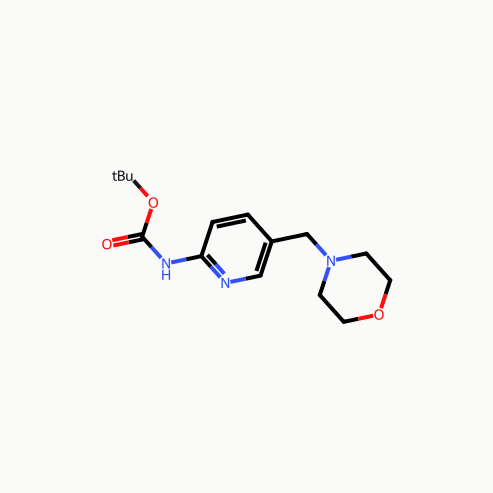 CC(C)(C)OC(=O)Nc1ccc(CN2CCOCC2)cn1